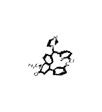 Cn1c(=O)cc(-c2cccc(Cl)c2)c2cc(C(c3ccc(Cl)s3)n3ccnc3)ccc21